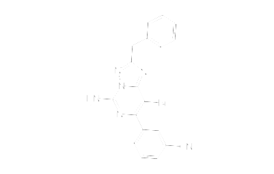 N#Cc1cccc(-c2nc(N)n3nc(Cc4ccccc4)nc3c2Br)c1